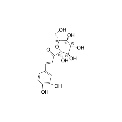 O=C(C=Cc1ccc(O)c(O)c1)[C@@]1(O)O[C@H](CO)[C@@H](O)[C@H](O)[C@H]1O